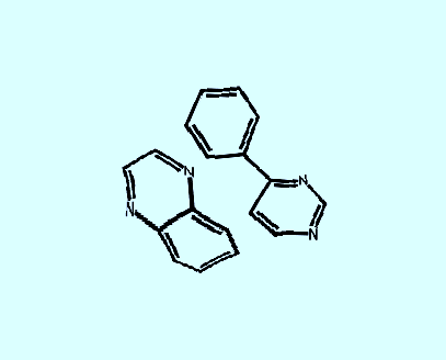 c1ccc(-c2ccncn2)cc1.c1ccc2nccnc2c1